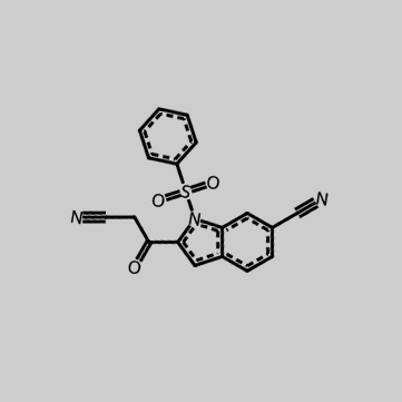 N#CCC(=O)c1cc2ccc(C#N)cc2n1S(=O)(=O)c1ccccc1